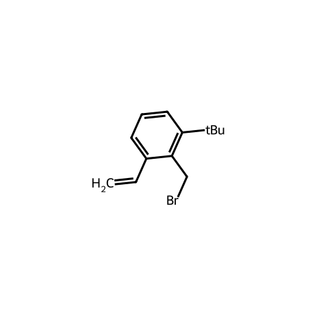 C=Cc1cccc(C(C)(C)C)c1CBr